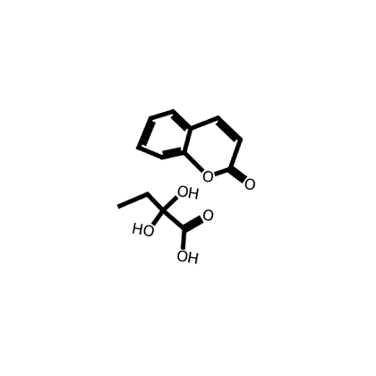 CCC(O)(O)C(=O)O.O=c1ccc2ccccc2o1